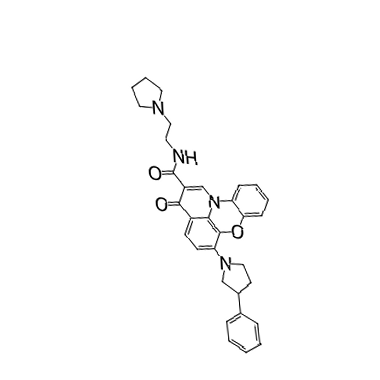 O=C(NCCN1CCCC1)c1cn2c3c(c(N4CCC(c5ccccc5)C4)ccc3c1=O)Oc1ccccc1-2